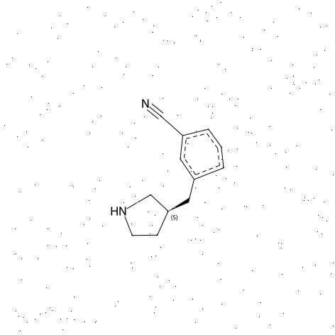 N#Cc1cccc(C[C@H]2CCNC2)c1